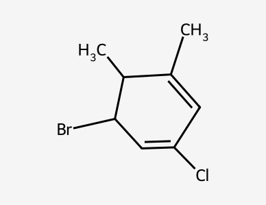 CC1=CC(Cl)=CC(Br)C1C